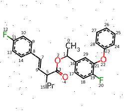 CC(OC(=O)C(C=Cc1ccc(F)cc1)C(C)C)c1ccc(F)c(Oc2ccccc2)c1